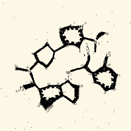 CN(C)c1cc(C2CCC(N(C)C(=O)c3ccc4c(c3)[C@H](NC(=O)c3ccccc3Cl)CC4)CC2)ccn1